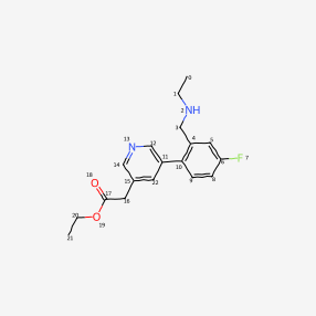 CCNCc1cc(F)ccc1-c1cncc(CC(=O)OCC)c1